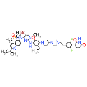 CCc1cc(Nc2ncc(Br)c(Nc3ccc4nc(C(C)C)ccc4c3P(C)(C)=O)n2)c(OC)cc1N1CCC(N2CCN(CCc3cc(F)c(C4CCC(=O)NC4=O)c(F)c3)CC2)CC1